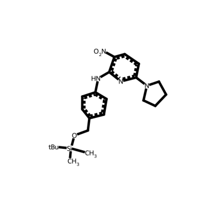 CC(C)(C)[Si](C)(C)OCc1ccc(Nc2nc(N3CCCC3)ccc2[N+](=O)[O-])cc1